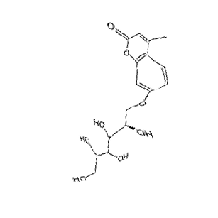 Cc1cc(=O)oc2cc(OC[C@@H](O)C(O)C(O)C(O)CO)ccc12